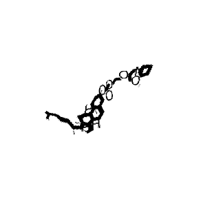 COCC(CN1CCCC1)OCCCOC(=O)O[C@H]1CC[C@@]2(C)C(=CC[C@H]3[C@@H]4CC[C@H]([C@H](C)CCCC(C)C)[C@@]4(C)CC[C@@H]32)C1